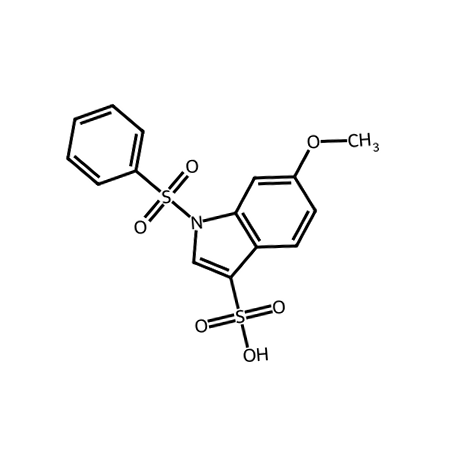 COc1ccc2c(S(=O)(=O)O)cn(S(=O)(=O)c3ccccc3)c2c1